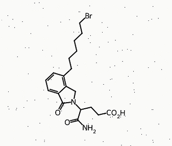 NC(=O)C(CCC(=O)O)N1Cc2c(CCCCCCBr)cccc2C1=O